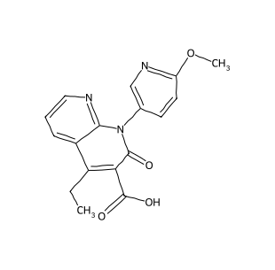 CCc1c(C(=O)O)c(=O)n(-c2ccc(OC)nc2)c2ncccc12